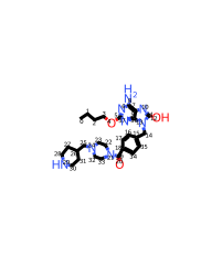 CCCCOc1nc(N)c2nc(O)n(Cc3ccc(C(=O)N4CCN(CC5CCNCC5)CC4)cc3)c2n1